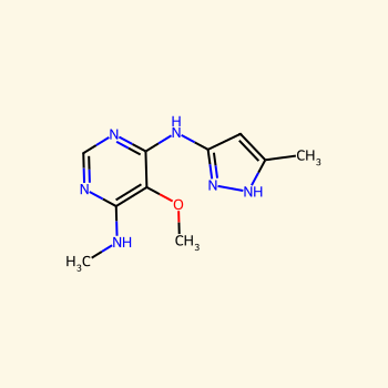 CNc1ncnc(Nc2cc(C)[nH]n2)c1OC